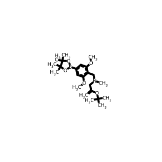 C=C(CN(C)Cc1c(OC)cc(B2OC(C)(C)C(C)(C)O2)cc1OC)OC(C)(C)C